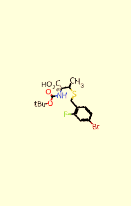 CC(SCc1ccc(Br)cc1F)[C@H](NC(=O)OC(C)(C)C)C(=O)O